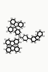 C1=CC(N(c2ccc(C3(c4ccccc4)c4ccccc4-c4ccccc43)cc2)c2ccc3c(c2)-c2ccccc2C32c3ccccc3-c3ccccc32)CC=C1c1ccc2sc3ccccc3c2c1